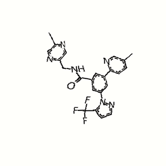 Cc1ccc(-c2cc(C(=O)NCc3cnc(C)cn3)cc(-n3nccc3C(F)(F)F)c2)nc1